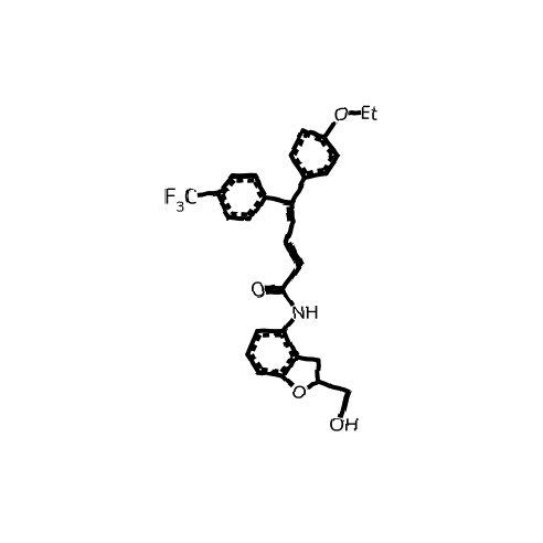 CCOc1ccc(C(=CC=CC(=O)Nc2cccc3c2CC(CO)O3)c2ccc(C(F)(F)F)cc2)cc1